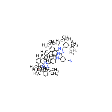 CC(C)(C)c1cc(-c2nc(-c3cc(C(C)(C)C)cc(C(C)(C)C)c3)nc(-c3cc(C#N)ccc3-n3c4ccccc4c4cc(-c5nc(-c6c(C(C)(C)C)cccc6C(C)(C)C)nc(-c6c(C(C)(C)C)cccc6C(C)(C)C)n5)ccc43)n2)cc(C(C)(C)C)c1